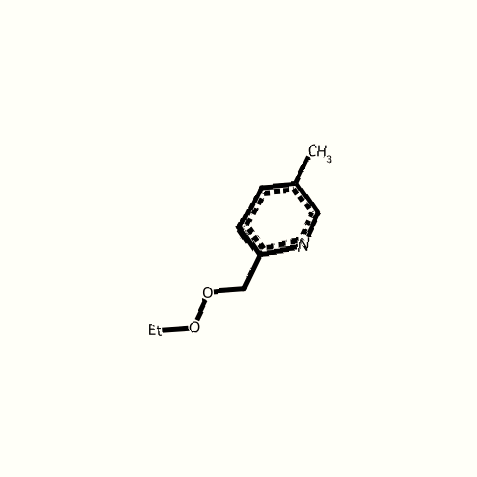 CCOOCc1ccc(C)cn1